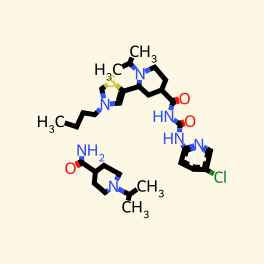 CC(C)N1CCC(C(N)=O)CC1.CCCCN1C=C(C2CC(C(=O)NC(=O)Nc3ccc(Cl)cn3)CCN2C(C)C)SC1